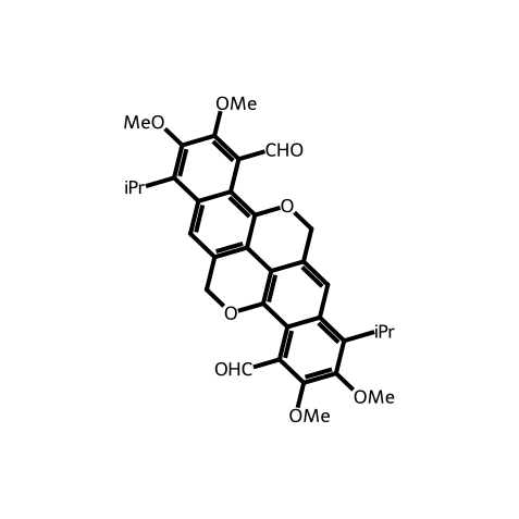 COc1c(OC)c(C=O)c2c3c4c(cc2c1C(C)C)COc1c-4c(cc2c(C(C)C)c(OC)c(OC)c(C=O)c12)CO3